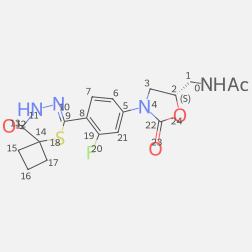 CC(=O)NC[C@H]1CN(c2ccc(C3=NNC(=O)C4(CCC4)S3)c(F)c2)C(=O)O1